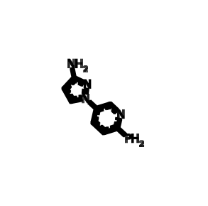 Nc1ccn(-c2ccc(P)nc2)n1